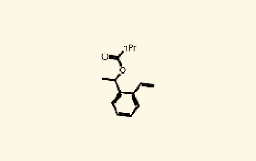 C=Cc1ccccc1C(C)OC(=O)CCC